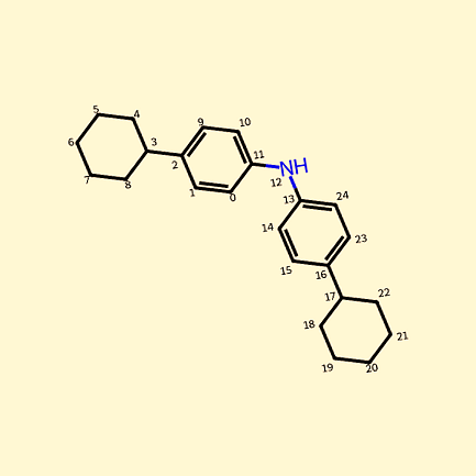 c1cc(C2CCCCC2)ccc1Nc1ccc(C2CCCCC2)cc1